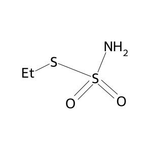 CCSS(N)(=O)=O